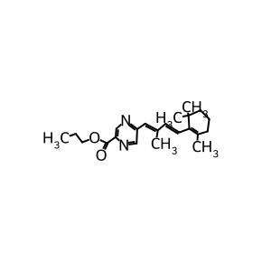 CCCOC(=O)c1cnc(/C=C(\C)C=CC2=C(C)CCCC2(C)C)cn1